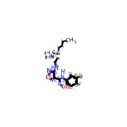 CCCCN=S(C)(=N)CCNc1nonc1/C(=N/O)Nc1ccc(F)c(Br)c1